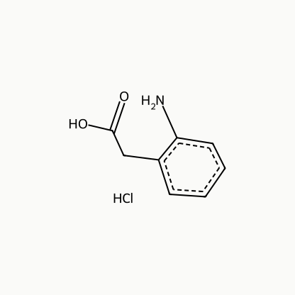 Cl.Nc1ccccc1CC(=O)O